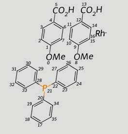 COc1ccc(C(=O)O)cc1.COc1ccc(C(=O)O)cc1.[Rh].c1ccc(P(c2ccccc2)c2ccccc2)cc1